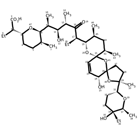 CCC(C(=O)O)[C@H]1CC[C@H](C)[C@H]([C@@H](C)[C@H](O)[C@H](C)C(=O)[C@H](CC)[C@H]2O[C@]3(C=C[C@@H](O)[C@]4(CC[C@@](C)([C@H]5CC[C@](O)(CC)[C@H](C)O5)O4)O3)[C@H](C)C[C@@H]2C)O1